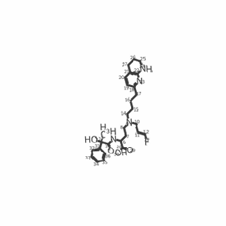 CC(O)(C(=O)NC(CCN(CCCF)CCCCc1ccc2c(n1)NCCC2)C(=O)O)c1ccccc1